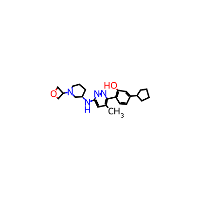 Cc1cc(N[C@@H]2CCCN(C3COC3)C2)nnc1-c1ccc(C2CCCC2)cc1O